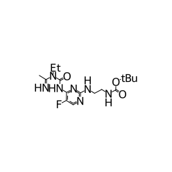 CCN(C(C)=N)C(=O)Nc1nc(NCCNC(=O)OC(C)(C)C)ncc1F